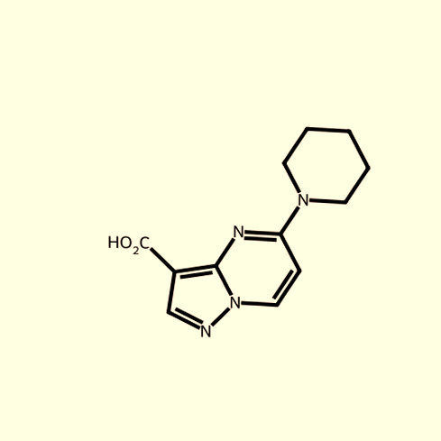 O=C(O)c1cnn2ccc(N3CCCCC3)nc12